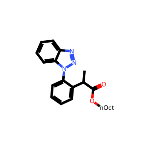 CCCCCCCCOC(=O)C(C)c1ccccc1-n1nnc2ccccc21